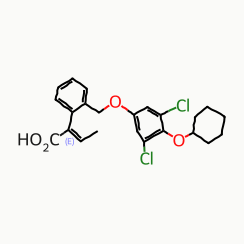 C/C=C(/C(=O)O)c1ccccc1COc1cc(Cl)c(OC2CCCCC2)c(Cl)c1